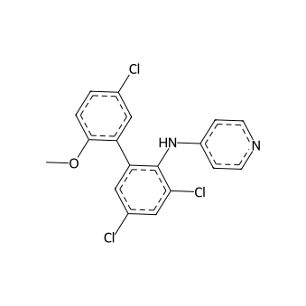 COc1ccc(Cl)cc1-c1cc(Cl)cc(Cl)c1Nc1ccncc1